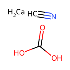 C#N.O=C(O)O.[CaH2]